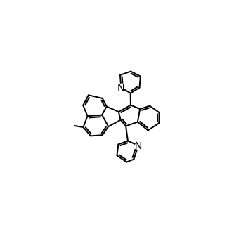 Cc1ccc2c3c(cccc13)-c1c-2c(-c2ccccn2)c2ccccc2c1-c1ccccn1